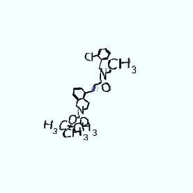 CCN(Cc1ccccc1Cl)C(=O)/C=C/c1cccc2c1CCN(C(=O)OC(C)(C)C)C2